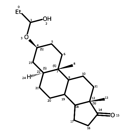 CCC(O)O[C@H]1CC[C@]2(C)C3CC[C@]4(C)C(=O)CCC4C3CC[C@H]2C1